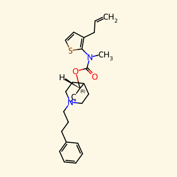 C=CCc1ccsc1N(C)C(=O)O[C@H]1C[N+]2(CCCc3ccccc3)CCC1CC2